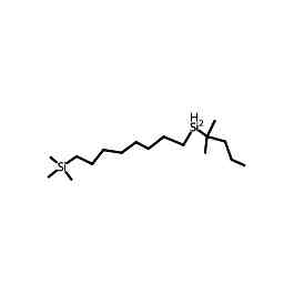 CCCC(C)(C)[SiH2]CCCCCCCC[Si](C)(C)C